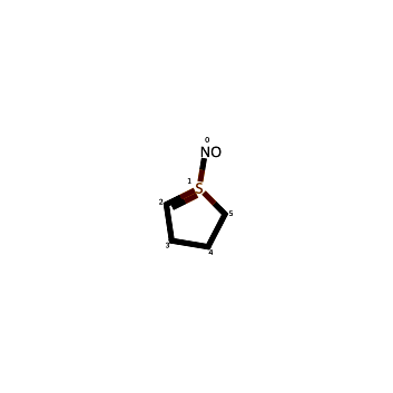 O=NS1=CCCC1